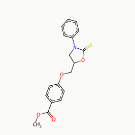 COC(=O)c1ccc(OCC2CN(c3ccccc3)C(=S)O2)cc1